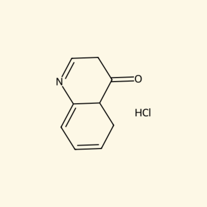 Cl.O=C1CC=NC2=CC=CCC12